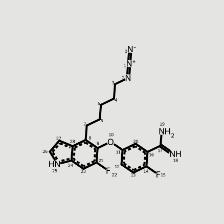 [N-]=[N+]=NCCCCCc1c(Oc2ccc(F)c(C(=N)N)c2)c(F)cc2[nH]ccc12